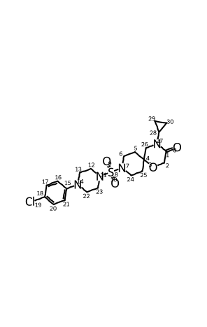 O=C1COC2(CCN(S(=O)(=O)N3CCN(c4ccc(Cl)cc4)CC3)CC2)CN1C1CC1